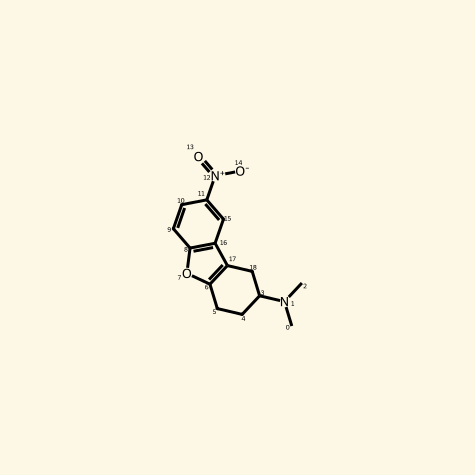 CN(C)C1CCc2oc3ccc([N+](=O)[O-])cc3c2C1